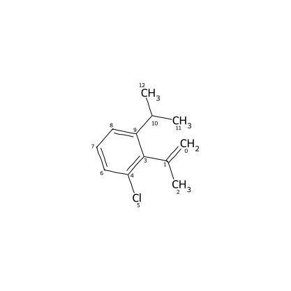 C=C(C)c1c(Cl)cccc1C(C)C